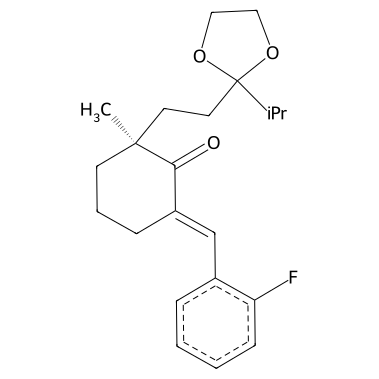 CC(C)C1(CC[C@]2(C)CCC/C(=C\c3ccccc3F)C2=O)OCCO1